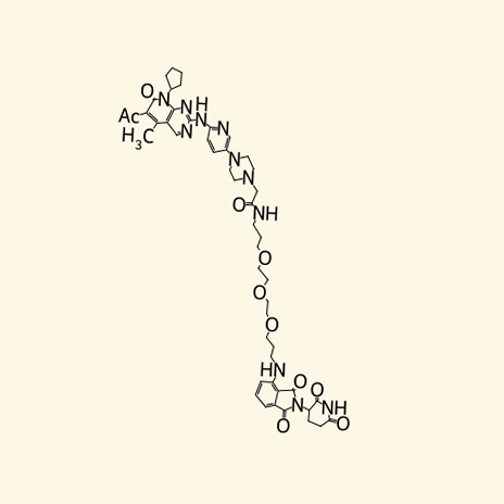 CC(=O)c1c(C)c2cnc(Nc3ccc(N4CCN(CC(=O)NCCCOCCOCCOCCCNc5cccc6c5C(=O)N(C5CCC(=O)NC5=O)C6=O)CC4)cn3)nc2n(C2CCCC2)c1=O